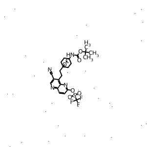 CC(C)(C)OC(=O)NC12CCC(CCc3c(C#N)cnc4ccc(OS(=O)(=O)C(F)(F)F)nc34)(CC1)OC2